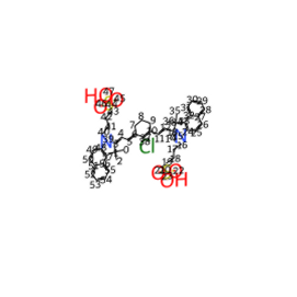 CC1(C)/C(=C\C=C2/CCCC(/C=C/C3(C)N(CCCCS(=O)(=O)O)c4ccc5ccccc5c4C3(C)C)=C2Cl)N(CCCCS(=O)(=O)O)c2ccc3ccccc3c21